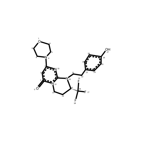 O=c1cc(N2CCOCC2)nc2n1CC[C@@H](C(F)(F)F)N2CCc1ccc(O)cc1